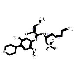 C=C/C=C\C=C(/CS(=O)(=O)C(C)C)NC(=N/c1cc(C)c(C2CCNCC2)cc1OC(C)C)/C(Cl)=C\N=C